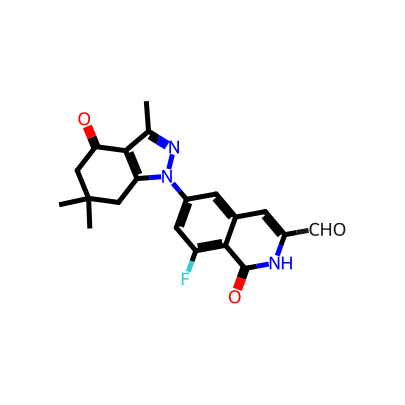 Cc1nn(-c2cc(F)c3c(=O)[nH]c(C=O)cc3c2)c2c1C(=O)CC(C)(C)C2